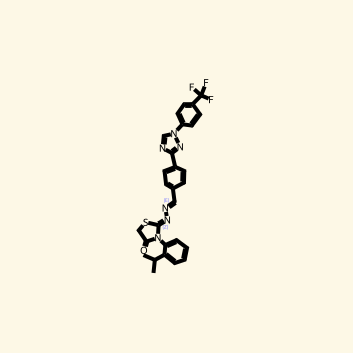 CC(C)c1ccccc1N1C(=O)CS/C1=N\N=C\c1ccc(-c2ncn(-c3ccc(C(F)(F)F)cc3)n2)cc1